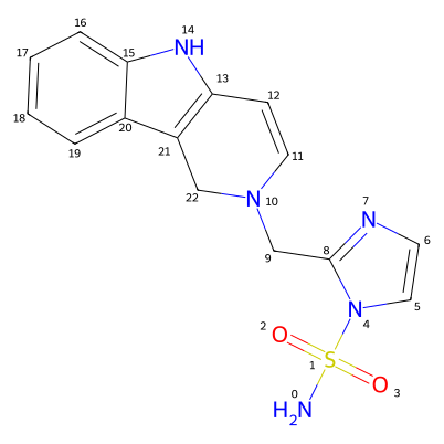 NS(=O)(=O)n1ccnc1CN1C=Cc2[nH]c3ccccc3c2C1